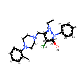 CCn1c(CN2CCN(c3ccccc3C)CC2)c(Cl)c(=O)n1-c1ccccc1